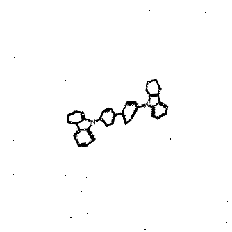 c1ccc2c(c1)c1c(n2-c2ccc(-c3ccc(-n4c5ccccc5c5ccccc54)cc3)cc2)CCCC1